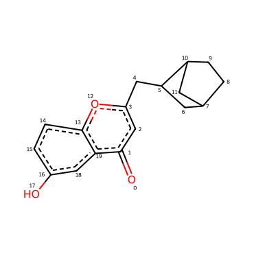 O=c1cc(CC2CC3CCC2C3)oc2ccc(O)cc12